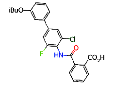 CC(C)COc1cccc(-c2cc(F)c(NC(=O)c3ccccc3C(=O)O)c(Cl)c2)c1